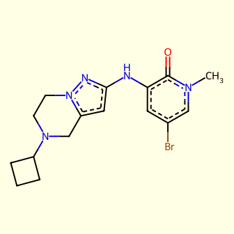 Cn1cc(Br)cc(Nc2cc3n(n2)CCN(C2CCC2)C3)c1=O